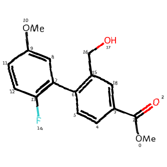 COC(=O)c1ccc(-c2cc(OC)ccc2F)c(CO)c1